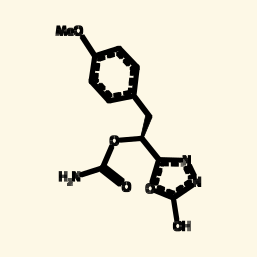 COc1ccc(C[C@H](OC(N)=O)c2nnc(O)o2)cc1